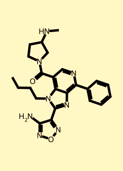 CCCCn1c(-c2nonc2N)nc2c(-c3ccccc3)ncc(C(=O)N3CCC(NC)C3)c21